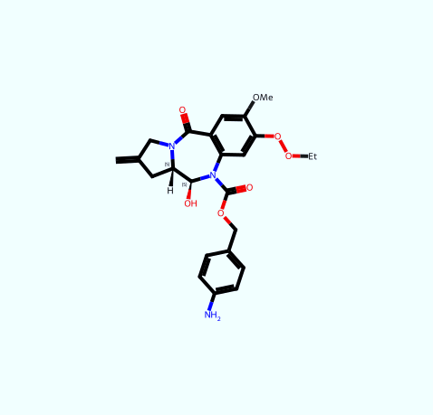 C=C1C[C@H]2[C@H](O)N(C(=O)OCc3ccc(N)cc3)c3cc(OOCC)c(OC)cc3C(=O)N2C1